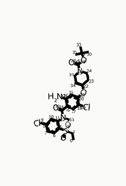 CCS(=O)(=O)c1ccc(Cl)cc1N(C)C(=O)c1cc(Cl)c(OC2CCN(C(=O)OC(C)(C)C)CC2)cc1N